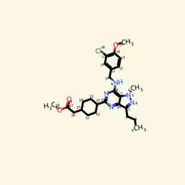 CCCc1nn(C)c2c(NCc3ccc(OC)c(Cl)c3)nc(C3CCC(CC(=O)OC)CC3)nc12